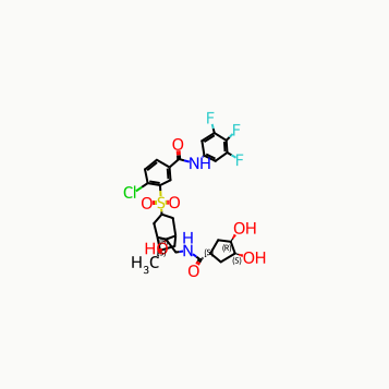 C[C@H]1CC2CC(S(=O)(=O)c3cc(C(=O)Nc4cc(F)c(F)c(F)c4)ccc3Cl)CC1[C@@]2(O)CNC(=O)[C@@H]1C[C@@H](O)[C@@H](O)C1